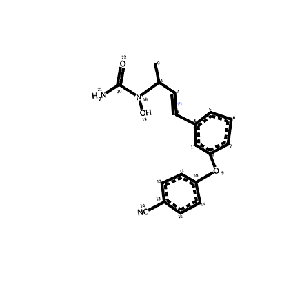 CC(/C=C/c1cccc(Oc2ccc(C#N)cc2)c1)N(O)C(N)=O